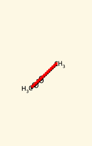 CCCCCCCCCCCCCCCCCCOC(=O)CCSCCC(=O)OCCCC